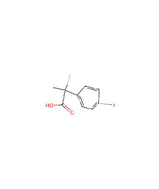 CC(F)(C(=O)O)c1ccc(I)cc1